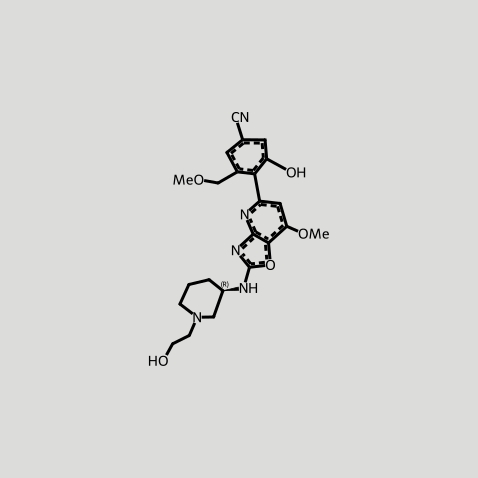 COCc1cc(C#N)cc(O)c1-c1cc(OC)c2oc(N[C@@H]3CCCN(CCO)C3)nc2n1